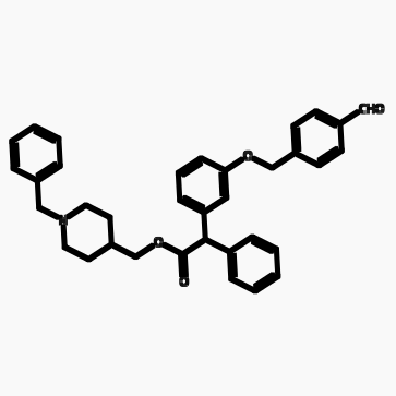 O=Cc1ccc(COc2cccc(C(C(=O)OCC3CCN(Cc4ccccc4)CC3)c3ccccc3)c2)cc1